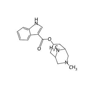 CN1CC2CC(OC(=O)c3c[nH]c4ccccc34)CC(C1)N2C